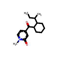 CCC(C)C1CCCCC1C(=O)c1ccn(C)c(=O)c1